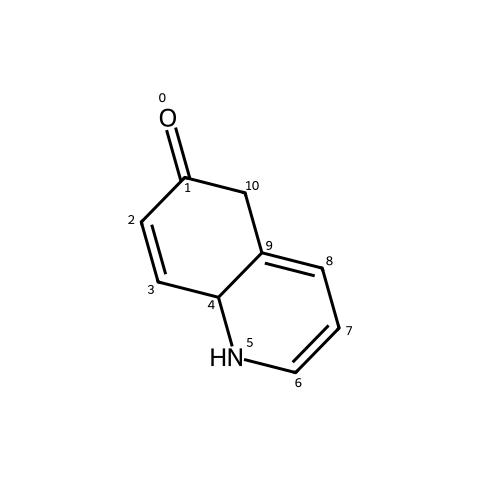 O=C1C=CC2NC=CC=C2C1